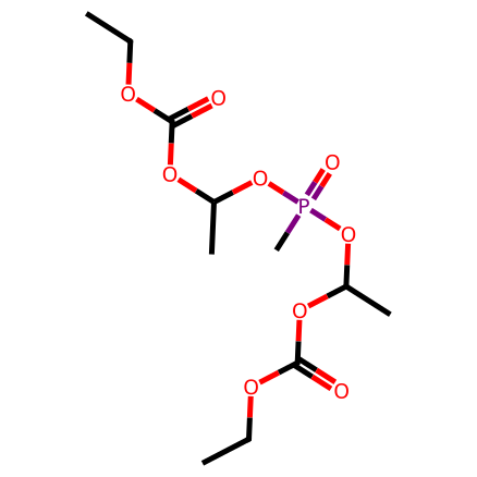 CCOC(=O)OC(C)OP(C)(=O)OC(C)OC(=O)OCC